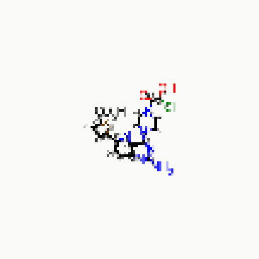 Nc1nc(N2CCN(C(=O)C(O)Cl)CC2)c2nc(-c3ccc(C(=O)O)s3)ccc2n1